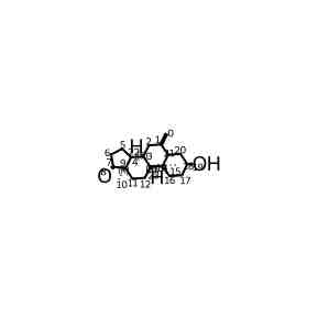 C=C1C[C@@H]2C3CCC(=O)[C@]3(C)CC[C@H]2[C@]2(C)CCC(O)CC12